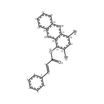 O=C(/C=C/c1ccccc1)Oc1c(Br)cc(Br)c2nc3ccccc3nc12